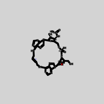 O=[PH](S)N[C@H]1C2CO[P@](=O)(S)NC3C(CO)OC([C@@H]3O)n3cnc4c(ncnc43)NC/C=C/CNc3ncnc4c3ncn4C(O2)[C@@H]1O